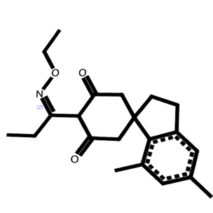 CCO/N=C(/CC)C1C(=O)CC2(CCc3cc(C)cc(C)c32)CC1=O